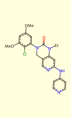 CCN1C(=O)N(c2cc(OC)cc(OC)c2Cl)Cc2cnc(Nc3ccncc3)cc21